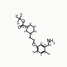 Cc1cc(C)c(OCCC2CCCN(C(=O)OC(C)(C)C)C2)cc1CN